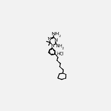 CC1(C)N=C(N)N=C(N)N1c1cccc(CCCCCC2CCCCC2)c1.Cl